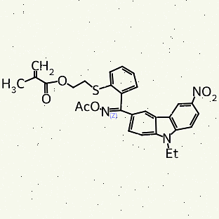 C=C(C)C(=O)OCCSc1ccccc1/C(=N\OC(C)=O)c1ccc2c(c1)c1cc([N+](=O)[O-])ccc1n2CC